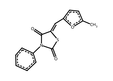 Cc1ccc(C=C2SC(=O)N(c3ccccc3)C2=O)o1